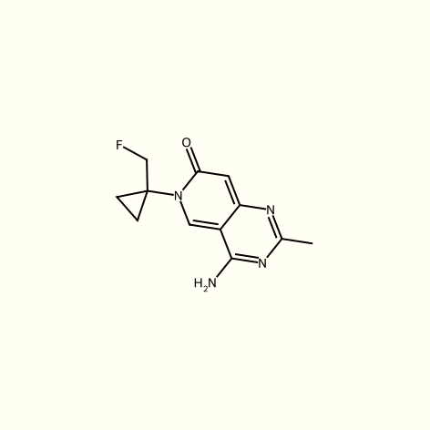 Cc1nc(N)c2cn(C3(CF)CC3)c(=O)cc2n1